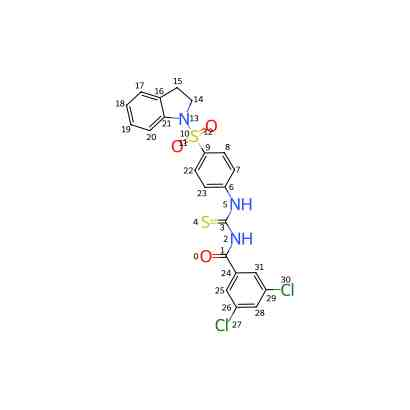 O=C(NC(=S)Nc1ccc(S(=O)(=O)N2CCc3ccccc32)cc1)c1cc(Cl)cc(Cl)c1